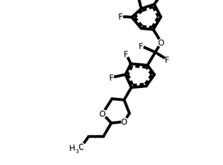 CCCC1OCC(c2ccc(C(F)(F)Oc3cc(F)c(F)c(F)c3)c(F)c2F)CO1